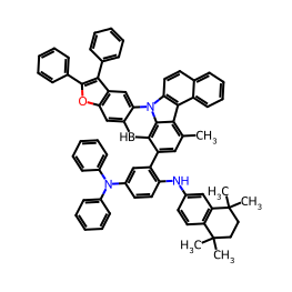 Cc1cc(-c2cc(N(c3ccccc3)c3ccccc3)ccc2Nc2ccc3c(c2)C(C)(C)CCC3(C)C)c2c3c1c1c4ccccc4ccc1n3-c1cc3c(-c4ccccc4)c(-c4ccccc4)oc3cc1B2